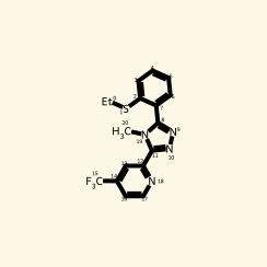 CCSc1ccccc1-c1nnc(-c2cc(C(F)(F)F)ccn2)n1C